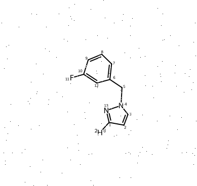 [2H]c1ccn(Cc2cccc(F)c2)n1